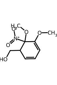 COC1=CC=CC(CO)C1(OC)[N+](=O)[O-]